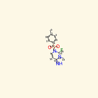 Cc1ccc(S(=O)(=O)N2C=CC(=N)N(C)C2F)cc1